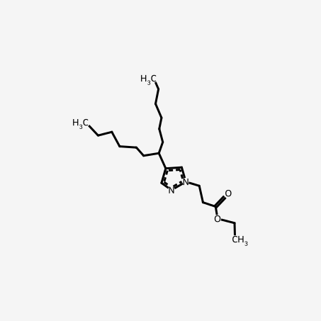 CCCCCCC(CCCCCC)c1cnn(CCC(=O)OCC)c1